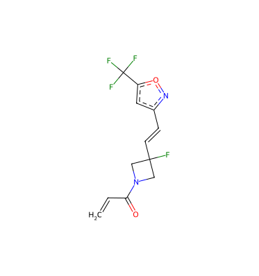 C=CC(=O)N1CC(F)(/C=C/c2cc(C(F)(F)F)on2)C1